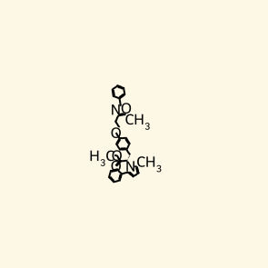 COC(=O)[C@H](Cc1ccc(OCCc2nc(-c3ccccc3)oc2C)cc1)n1c(C)ccc1-c1ccccc1